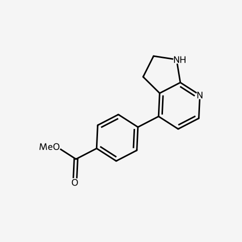 COC(=O)c1ccc(-c2ccnc3c2CCN3)cc1